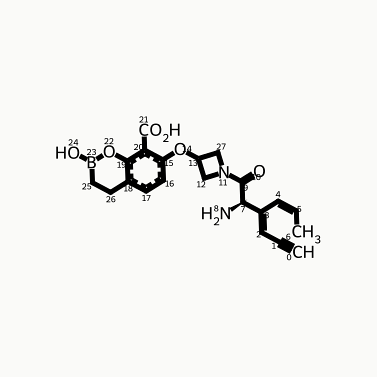 C#C/C=C(\C=C/C)[C@@H](N)C(=O)N1CC(Oc2ccc3c(c2C(=O)O)OB(O)CC3)C1